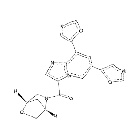 O=C(c1cnc2c(-c3cnco3)cc(-c3cnco3)cn12)N1C[C@@H]2C[C@H]1CO2